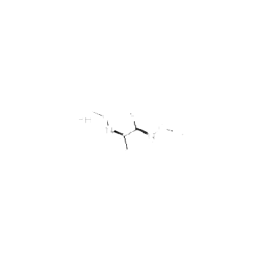 B.CON=C(C)C(F)=NOF